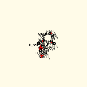 CC(=O)NCCCC[C@H]1CN[C@H](C(=O)N[C@@H](Cc2ccc(OCCN)cc2)C(=O)N[C@@H](Cc2ccc3ccccc3c2)C(=O)NC2(C(=O)N[C@@H](CCC(=O)O)C(=O)N[C@@H](CC(N)=O)C(=O)N[C@@H](Cc3cccnc3)C(=O)N(C)CC(N)=O)CCOCC2)C(C)(C)SSC(C)(C)[C@H](NC(C)=O)C(=O)N[C@@H](CC(N)=O)C(=O)N[C@@H]([C@@H](C)O)C(=O)N[C@@H](Cc2c[nH]c3c(C)cccc23)C(=O)N1